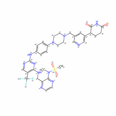 CN(c1nccnc1CNc1nc(Nc2ccc(N3CCN(Cc4cncc(C5CCC(=O)NC5=O)c4)CC3)cc2)ncc1C(F)(F)F)S(C)(=O)=O